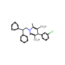 CC1=C(C(=O)O)C(c2cccc(Cl)c2)C(C(=O)O)=C(C)N1CC(c1ccccc1)c1ccccc1